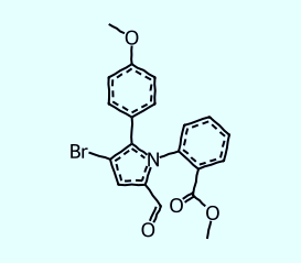 COC(=O)c1ccccc1-n1c(C=O)cc(Br)c1-c1ccc(OC)cc1